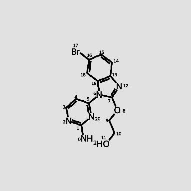 Nc1nccc(-n2c(OCCO)nc3ccc(Br)cc32)n1